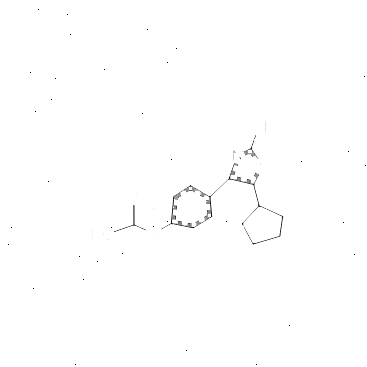 CC(P)Oc1ccc(-c2nc(Cl)sc2C2CCCC2)cc1